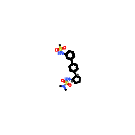 CN(C)S(=O)(=O)N[C@@H]1CCC[C@@H]1c1ccc(-c2cccc(NS(C)(=O)=O)c2)cc1